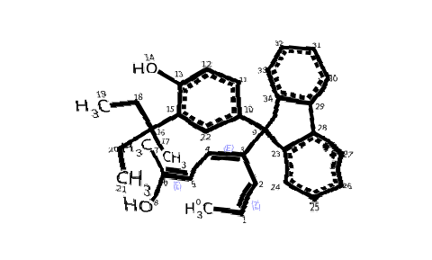 C\C=C/C(=C\C=C(/C)O)C1(c2ccc(O)c(C(C)(CC)CC)c2)c2ccccc2-c2ccccc21